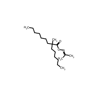 CCCCCCCC(C)(CCCCCC)C(=O)ON=C(C)C